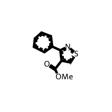 COC(=O)c1[c]snc1-c1ccccc1